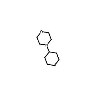 [CH]1CCC(N2CCOCC2)CC1